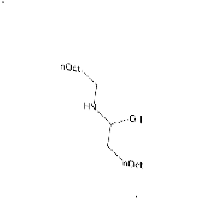 CCCCCCCCCNC(O)CCCCCCCCC